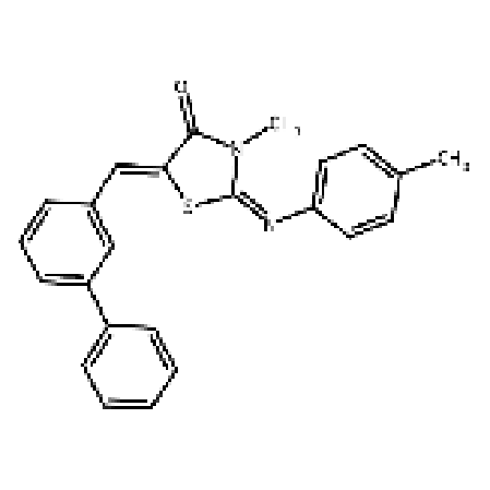 Cc1ccc(/N=C2/S/C(=C\c3cccc(-c4ccccc4)c3)C(=O)N2C)cc1